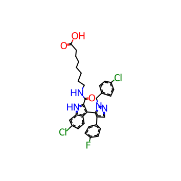 O=C(O)CCCCCCCNC(=O)c1[nH]c2cc(Cl)ccc2c1-c1c(-c2ccc(F)cc2)cnn1Cc1ccc(Cl)cc1